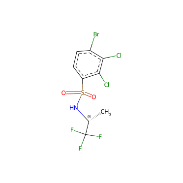 C[C@@H](NS(=O)(=O)c1ccc(Br)c(Cl)c1Cl)C(F)(F)F